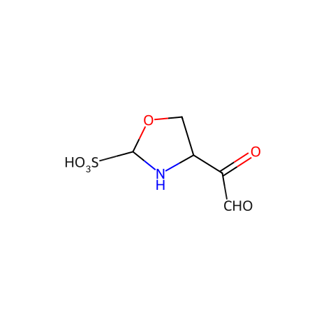 O=CC(=O)C1COC(S(=O)(=O)O)N1